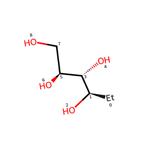 CC[C@@H](O)[C@@H](O)[C@@H](O)CO